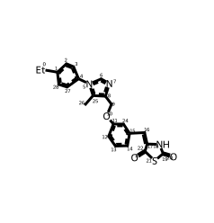 CCc1ccc(-n2cnc(COc3cccc(C=C4NC(=O)SC4=O)c3)c2C)cc1